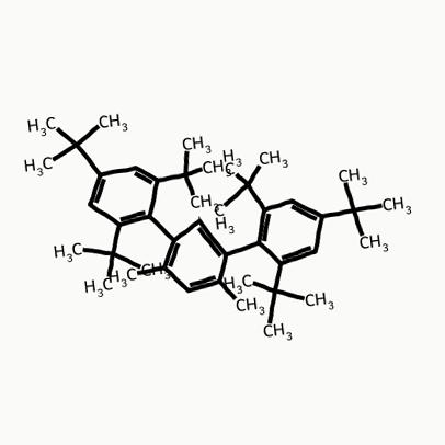 Cc1cc(C)c(-c2c(C(C)(C)C)cc(C(C)(C)C)cc2C(C)(C)C)[c]c1-c1c(C(C)(C)C)cc(C(C)(C)C)cc1C(C)(C)C